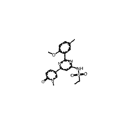 CCS(=O)(=O)Nc1cc(-c2ccc(=O)n(C)c2)nc(-c2cc(C)ccc2OC)n1